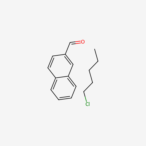 CCCCCCl.O=Cc1ccc2ccccc2c1